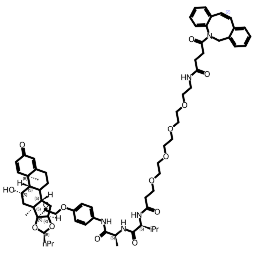 CCC[C@@H]1O[C@@H]2C[C@H]3C4CCC5=CC(=O)C=C[C@]5(C)[C@H]4[C@@H](O)C[C@]3(C)[C@]2(C(=O)COc2ccc(NC(=O)[C@H](C)NC(=O)[C@@H](NC(=O)CCOCCOCCOCCOCCNC(=O)CCC(=O)N3Cc4ccccc4/C=C\c4ccccc43)C(C)C)cc2)O1